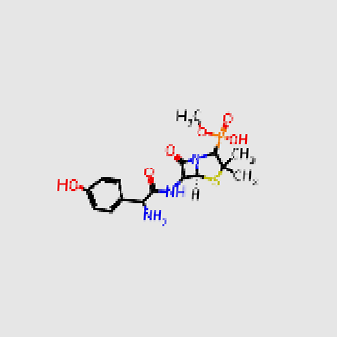 COP(=O)(O)C1N2C(=O)C(NC(=O)C(N)c3ccc(O)cc3)[C@@H]2SC1(C)C